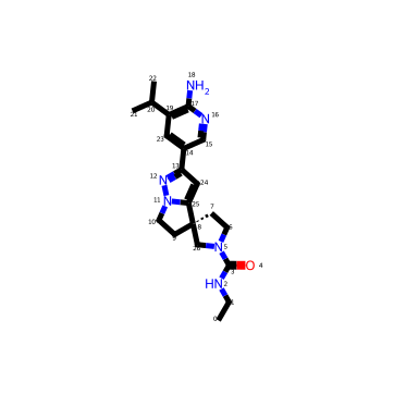 CCNC(=O)N1CC[C@@]2(CCn3nc(-c4cnc(N)c(C(C)C)c4)cc32)C1